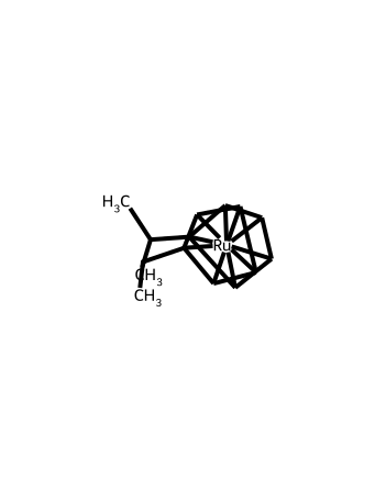 CC[C]12[CH]3[CH]4[CH]5[CH]1[Ru]45321678[CH]2[CH]1[CH]6[C]7(C(C)C)[CH]28